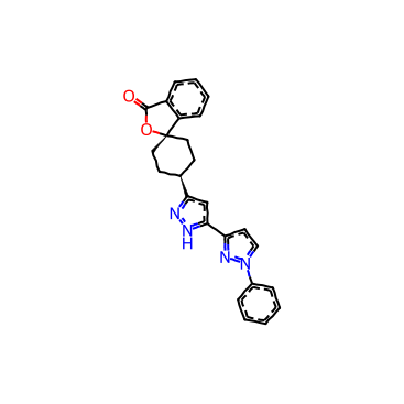 O=C1O[C@]2(CC[C@H](c3cc(-c4ccn(-c5ccccc5)n4)[nH]n3)CC2)c2ccccc21